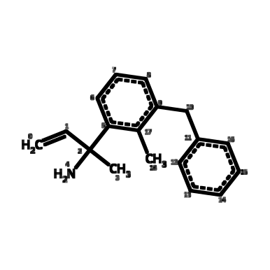 C=CC(C)(N)c1cccc(Cc2ccccc2)c1C